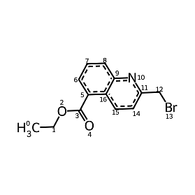 CCOC(=O)c1cccc2nc(CBr)ccc12